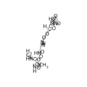 CCSNc1ccc(Oc2cccc(NC(=O)CCCc3cn(CCOCCOCC#Cc4cccc(C(=O)N(C=O)C5CCC(=O)NC5=O)c4C)nn3)c2)c(-c2cn(C)c(=O)c3[nH]ccc23)c1